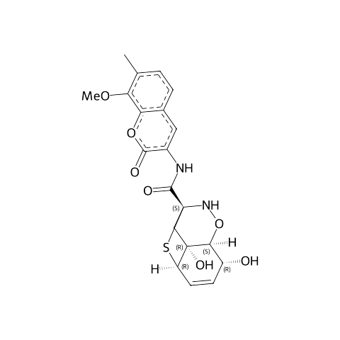 COc1c(C)ccc2cc(NC(=O)[C@@]34C[C@]5(O)[C@@H](C=C[C@@H](O)[C@@H]5ON3)S4)c(=O)oc12